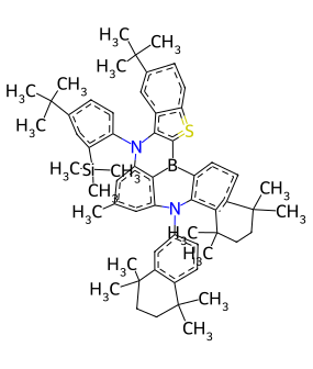 Cc1cc2c3c(c1)N(c1ccc(C(C)(C)C)cc1[Si](C)(C)C)c1c(sc4ccc(C(C)(C)C)cc14)B3c1ccc3c(c1N2c1ccc2c(c1)C(C)(C)CCC2(C)C)C(C)(C)CCC3(C)C